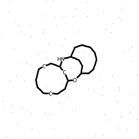 C1CCCCC2CC(CCCC1)OC1CCCCCCCC(CC1)N2